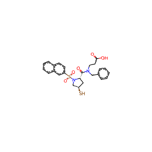 O=C(O)CCN(Cc1ccccc1)C(=O)[C@@H]1C[C@@H](S)CN1S(=O)(=O)c1ccc2ccccc2c1